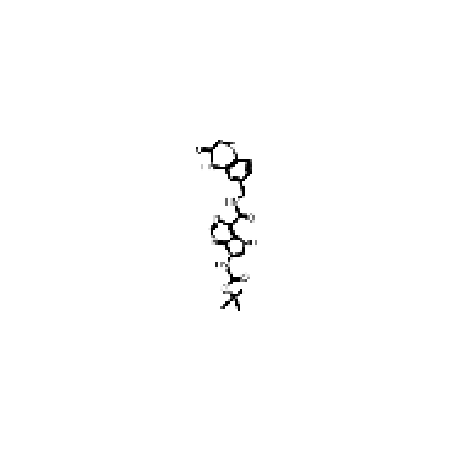 CC(C)(C)OC(=O)NC1CNc2c(C(=O)NCc3ccc4c(c3)NC(=O)CO4)ncnc21